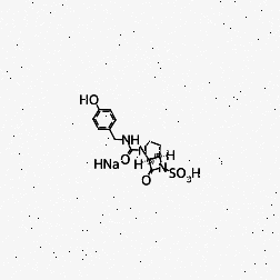 O=C(NCc1ccc(O)cc1)N1CC[C@@H]2[C@H]1C(=O)N2S(=O)(=O)O.[NaH]